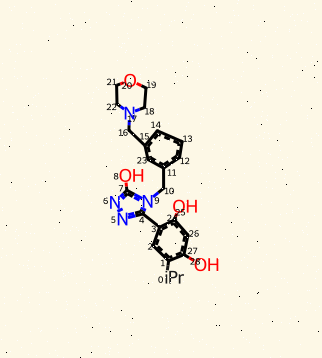 CC(C)c1cc(-c2nnc(O)n2Cc2cccc(CN3CCOCC3)c2)c(O)cc1O